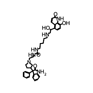 NC(=O)C(c1ccccc1)(c1ccccc1)C1CCN(CCNC(=O)NCCCCCNCC(O)c2ccc(O)c3[nH]c(=O)ccc23)C1